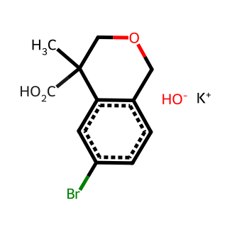 CC1(C(=O)O)COCc2ccc(Br)cc21.[K+].[OH-]